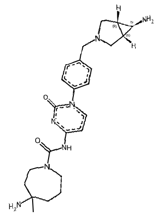 CC1(N)CCCN(C(=O)Nc2ccn(-c3ccc(CN4C[C@@H]5[C@@H](N)[C@@H]5C4)cc3)c(=O)n2)CC1